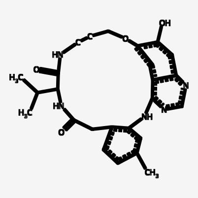 Cc1ccc2c(c1)Nc1ncnc3cc(O)c(cc13)OCCCNC(=O)C(C(C)C)NC(=O)C2